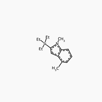 CC[Si](CC)(CC)c1cc2c(C)cccc2n1C